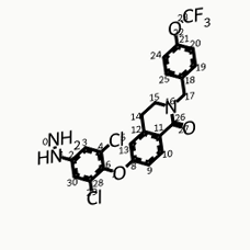 NNc1cc(Cl)c(Oc2ccc3c(c2)CCN(Cc2ccc(OC(F)(F)F)cc2)C3=O)c(Cl)c1